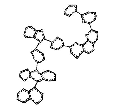 c1ccc(-c2cccc(-c3ccc4ccc5ccc(-c6ccc(-c7nc8ccccc8n7-c7ccc(-c8c9ccccc9c(-c9cccc%10ccccc9%10)c9ccccc89)cc7)cc6)nc5c4n3)n2)cc1